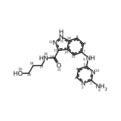 Nc1nccc(Nc2ccc3[nH]nc(C(=O)NCCCO)c3c2)n1